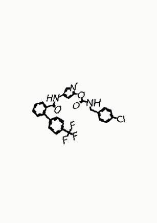 Cn1cc(NC(=O)c2ccccc2-c2ccc(C(F)(F)F)cc2)cc1OC(=O)NCc1ccc(Cl)cc1